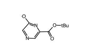 CC(C)(C)OC(=O)c1cncc([O])n1